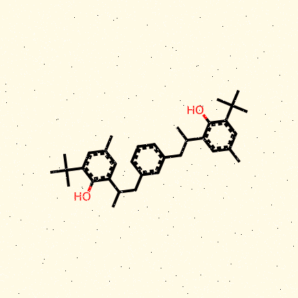 Cc1cc(C(C)Cc2cccc(CC(C)c3cc(C)cc(C(C)(C)C)c3O)c2)c(O)c(C(C)(C)C)c1